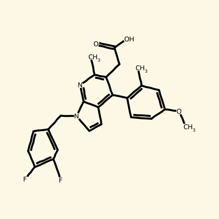 COc1ccc(-c2c(CC(=O)O)c(C)nc3c2ccn3Cc2ccc(F)c(F)c2)c(C)c1